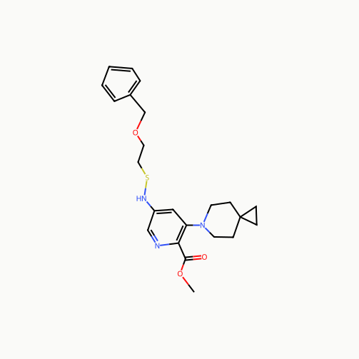 COC(=O)c1ncc(NSCCOCc2ccccc2)cc1N1CCC2(CC1)CC2